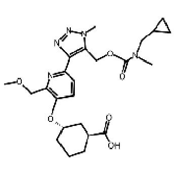 COCc1nc(-c2nnn(C)c2COC(=O)N(C)CC2CC2)ccc1O[C@H]1CCC[C@H](C(=O)O)C1